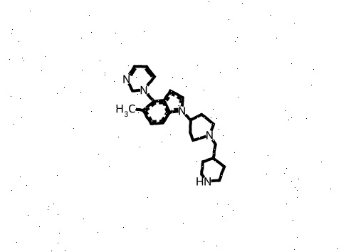 Cc1ccc2c(ccn2C2CCN(CC3CCNCC3)CC2)c1N1C=CC=NC1